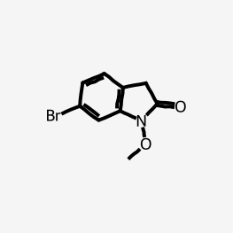 CON1C(=O)Cc2ccc(Br)cc21